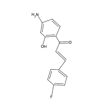 Nc1ccc(C(=O)/C=C/c2ccc(F)cc2)c(O)c1